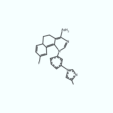 Cc1cn(-c2cccc(N3C=NC([AsH2])=C4CCC5C=CC(F)=CC5=C43)c2)cn1